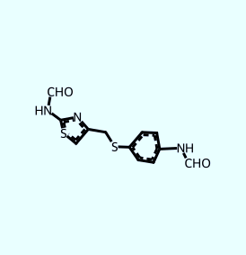 O=CNc1ccc(SCc2csc(NC=O)n2)cc1